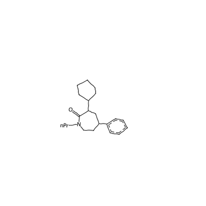 CCCN1CCC(c2ccccc2)CC(C2CCCCC2)C1=O